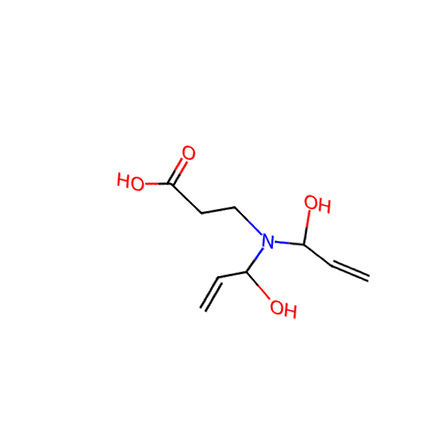 C=CC(O)N(CCC(=O)O)C(O)C=C